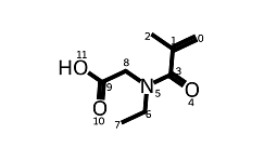 C=C(C)C(=O)N(CC)CC(=O)O